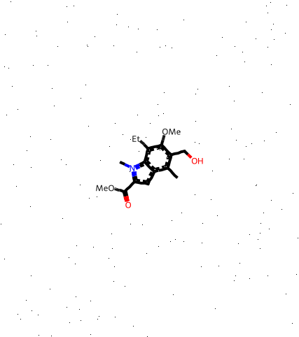 CCc1c(OC)c(CO)c(C)c2cc(C(=O)OC)n(C)c12